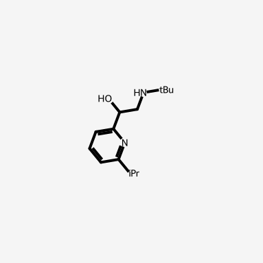 CC(C)c1cccc(C(O)CNC(C)(C)C)n1